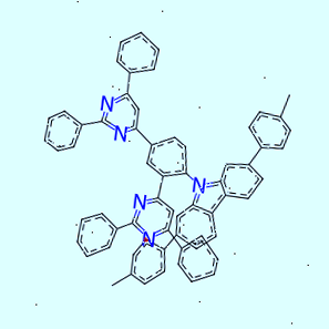 Cc1ccc(-c2ccc3c4ccc(-c5ccc(C)cc5)cc4n(-c4ccc(-c5cc(-c6ccccc6)nc(-c6ccccc6)n5)cc4-c4cc(-c5ccccc5)nc(-c5ccccc5)n4)c3c2)cc1